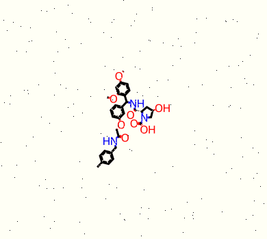 COc1ccc(C(NC(=O)[C@@H]2C[C@@H](O)CN2C(=O)O)c2cccc(OCC(=O)NCc3ccc(C)cc3)c2)c(OC)c1